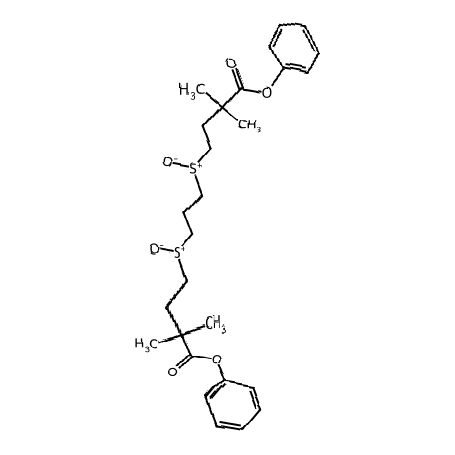 CC(C)(CC[S+]([O-])CCC[S+]([O-])CCC(C)(C)C(=O)Oc1ccccc1)C(=O)Oc1ccccc1